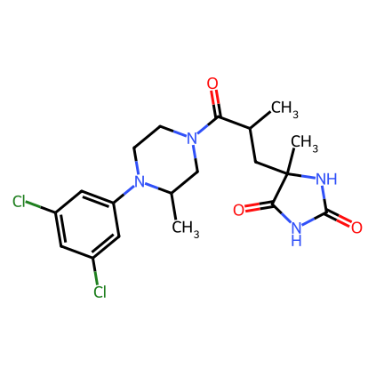 CC(CC1(C)NC(=O)NC1=O)C(=O)N1CCN(c2cc(Cl)cc(Cl)c2)C(C)C1